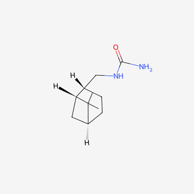 CC1(C)[C@H]2CC[C@@H](CNC(N)=O)[C@H]1C2